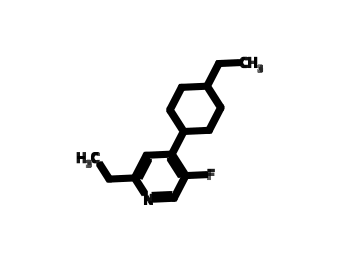 CCc1cc(C2CCC(CC)CC2)c(F)cn1